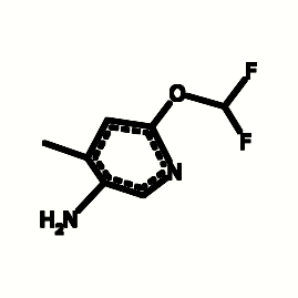 Cc1cc(OC(F)F)ncc1N